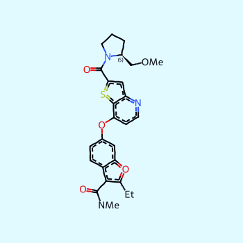 CCc1oc2cc(Oc3ccnc4cc(C(=O)N5CCC[C@H]5COC)sc34)ccc2c1C(=O)NC